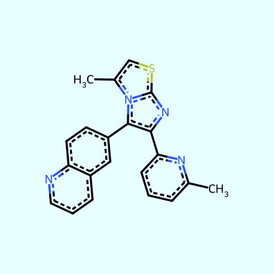 Cc1cccc(-c2nc3scc(C)n3c2-c2ccc3ncccc3c2)n1